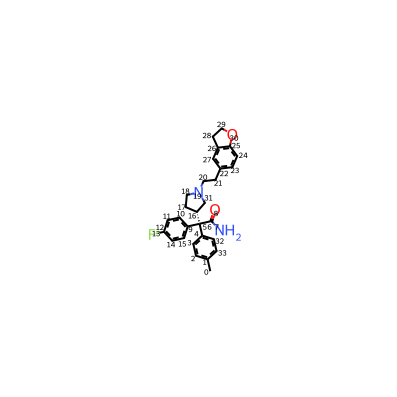 Cc1ccc(C(C(N)=O)(c2ccc(F)cc2)[C@@H]2CCN(CCc3ccc4c(c3)CCO4)C2)cc1